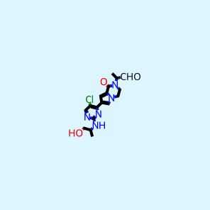 CC(CO)Nc1ncc(Cl)c(-c2cc3n(c2)CCN(C(C)C=O)C3=O)n1